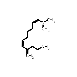 C=C(/C=C\CCC/C=C\N(C)C)CCN